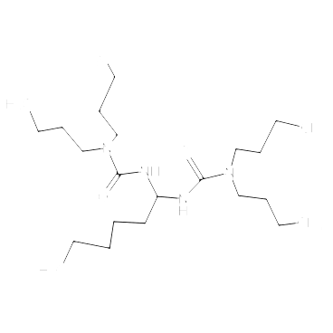 CCCCCC(NC(=O)N(CCCC)CCCC)NC(=O)N(CCCC)CCCC